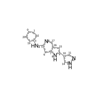 c1ccc(Nc2cc3[nH]c(-c4cn[nH]c4)cc3cn2)cc1